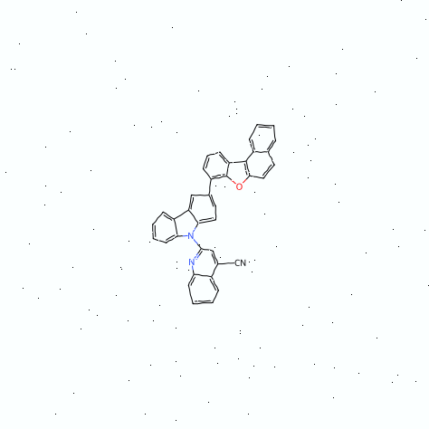 N#Cc1cc(-n2c3ccccc3c3cc(-c4cccc5c4oc4ccc6ccccc6c45)ccc32)nc2ccccc12